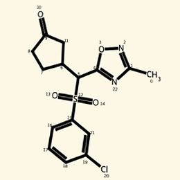 Cc1noc(C(C2CCC(=O)C2)S(=O)(=O)c2cccc(Cl)c2)n1